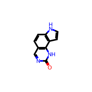 O=c1ncc2ccc3[nH]ccc3c2[nH]1